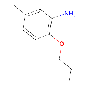 CCCOc1ccc(C)cc1N